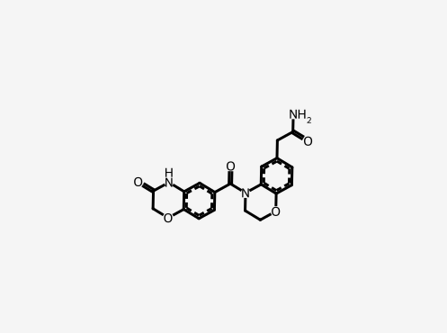 NC(=O)Cc1ccc2c(c1)N(C(=O)c1ccc3c(c1)NC(=O)CO3)CCO2